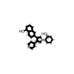 Oc1cccc2cc(-c3cn([C@H]4CCCC[C@@H]4O)nc3-c3ccncc3)ccc12